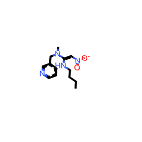 CCCCNC(=C[N+](=O)[O-])N(C)Cc1cccnc1